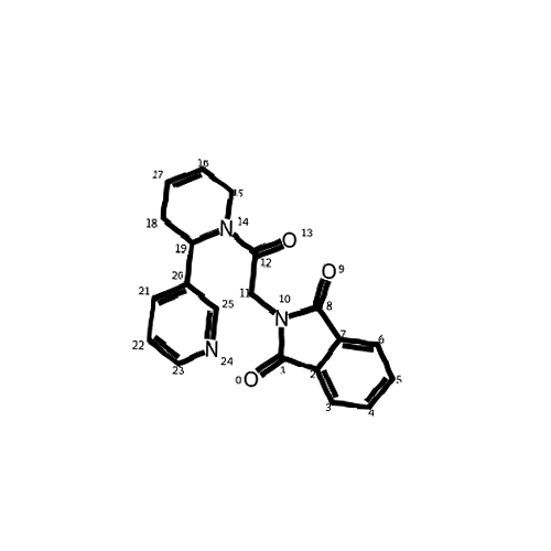 O=C1c2ccccc2C(=O)N1CC(=O)N1CC=CCC1c1cccnc1